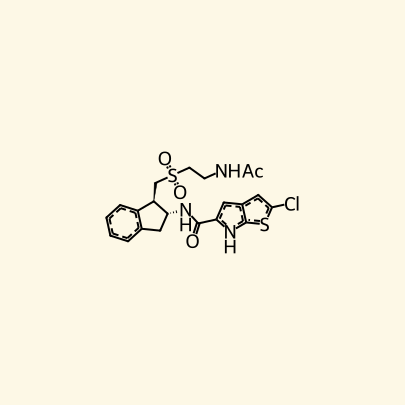 CC(=O)NCCS(=O)(=O)C[C@@H]1c2ccccc2C[C@H]1NC(=O)c1cc2cc(Cl)sc2[nH]1